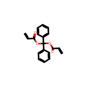 C=CC(=O)OC(OC(=O)C=C)(c1ccccc1)c1ccccc1